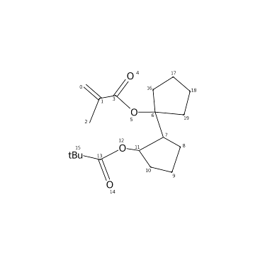 C=C(C)C(=O)OC1(C2CCCC2OC(=O)C(C)(C)C)CCCC1